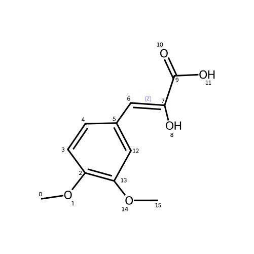 COc1ccc(/C=C(\O)C(=O)O)cc1OC